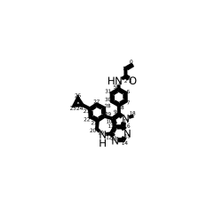 C=CC(=O)Nc1ccc(-c2c3c4c(ncnc4n2C)NCc2cc(C4CC4)ccc2-3)cc1